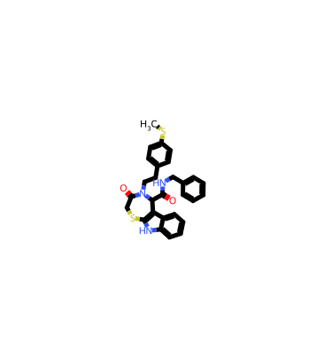 CSc1ccc(CCN2C(=O)CSc3[nH]c4ccccc4c3C2C(=O)NCc2ccccc2)cc1